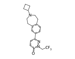 O=c1ccc(-c2ccc3c(c2)CCN(C2CCC2)CC3)nn1CC(F)(F)F